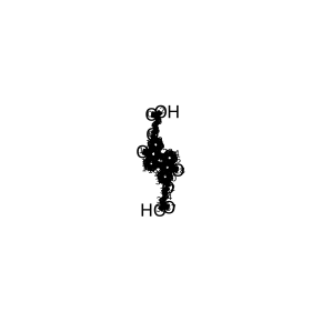 O=C(O)CCCOc1ccc2c(c1)c(=O)c1cccc3c1c2c1cccc2c(=O)c4cc(OCCCC(=O)O)ccc4c3c21